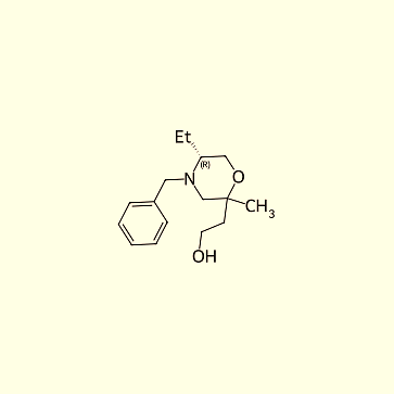 CC[C@@H]1COC(C)(CCO)CN1Cc1ccccc1